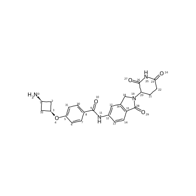 N[C@H]1C[C@@H](Oc2ccc(C(=O)Nc3ccc4c(c3)CN(C3CCC(=O)NC3=O)C4=O)cc2)C1